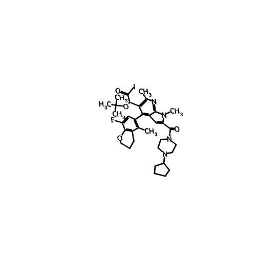 Cc1nc2c(cc(C(=O)N3CCN(C4CCCC4)CC3)n2C)c(-c2cc(F)c3c(c2C)CCCO3)c1[C@H](OC(C)(C)C)C(=O)I